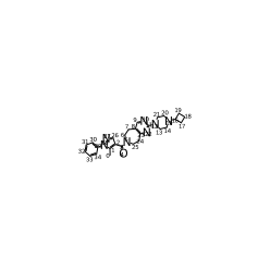 Cc1c(C(=O)N2CCc3cnc(N4CCN(C5CCC5)CC4)nc3CC2)cnn1-c1ccccc1